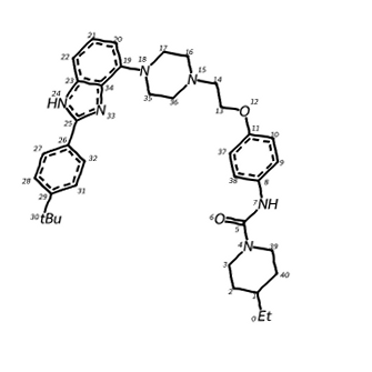 CCC1CCN(C(=O)Nc2ccc(OCCN3CCN(c4cccc5[nH]c(-c6ccc(C(C)(C)C)cc6)nc45)CC3)cc2)CC1